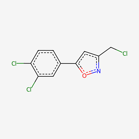 ClCc1cc(-c2ccc(Cl)c(Cl)c2)on1